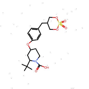 CC(C)(C)C1CC(Oc2ccc(CC3COS(=O)(=O)OC3)cc2)CCN1C(=O)O